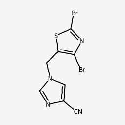 N#Cc1cn(Cc2sc(Br)nc2Br)cn1